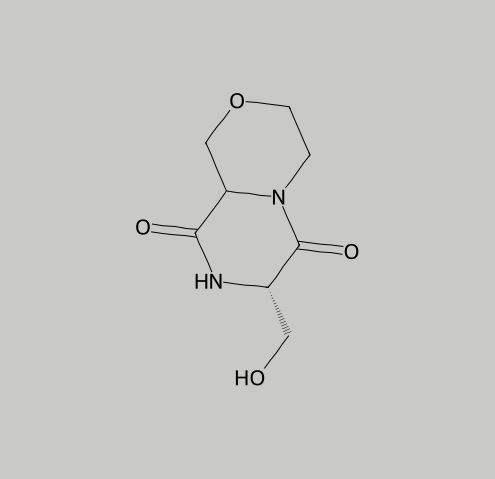 O=C1N[C@@H](CO)C(=O)N2CCOCC12